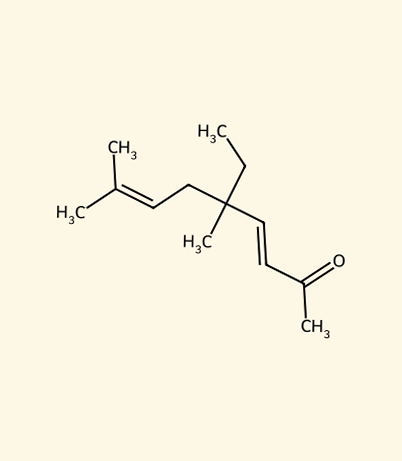 CCC(C)(C=CC(C)=O)CC=C(C)C